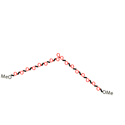 COCCOCCOCCOCCOCCOCCOCCOCCOC(=O)OCCOCCOCCOCCOCCOCCOCCOCCOC